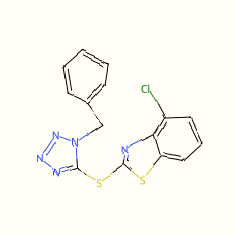 Clc1cccc2sc(Sc3nnnn3Cc3ccccc3)nc12